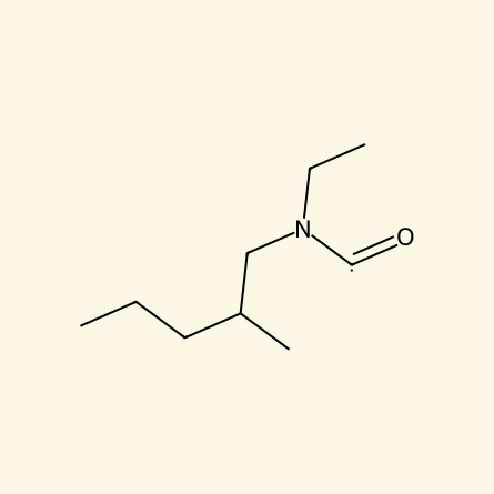 CCCC(C)CN([C]=O)CC